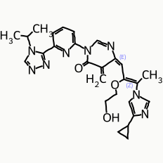 C=c1c(=O)n(-c2cccc(-c3nncn3C(C)C)n2)cn/c1=C/C(OCCO)=C(\C)n1cnc(C2CC2)c1